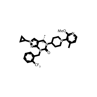 COc1nccc(C)c1N1CCC(N2C(=O)N(Cc3ccccc3C(F)(F)F)c3nn(C4CC4)cc3[C@@H]2C)CC1